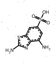 Nc1nc2c(N)cc(S(=O)(=O)O)cc2s1